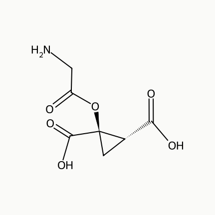 NCC(=O)O[C@]1(C(=O)O)C[C@H]1C(=O)O